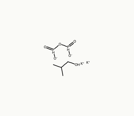 CC(C)CO.O=[PH]([O-])O[PH](=O)[O-].[K+].[K+]